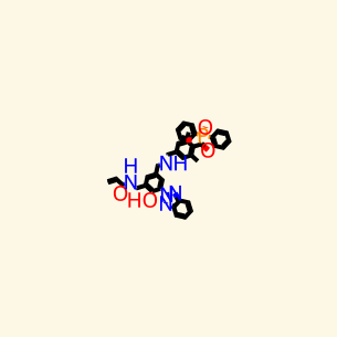 C=CC(=O)NCc1cc(CNCc2cc(C)c(C(=O)P(=O)(c3ccccc3)c3ccccc3)c(C)c2)cc(-n2nc3ccccc3n2)c1O